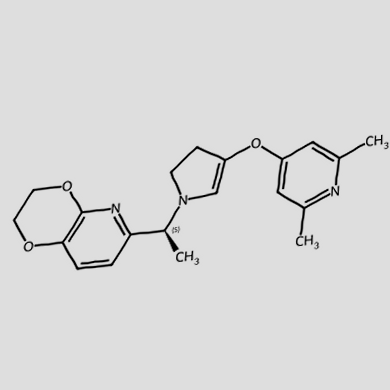 Cc1cc(OC2=CN([C@@H](C)c3ccc4c(n3)OCCO4)CC2)cc(C)n1